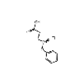 O=C(O)CC[PH](=O)Oc1ccccc1.[Ti]